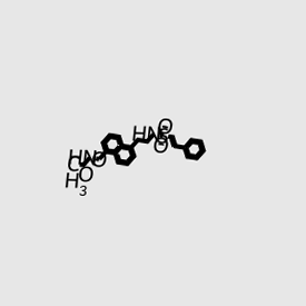 CC(=O)NOc1cccc2c(CCNS(=O)(=O)C=Cc3ccccc3)cccc12